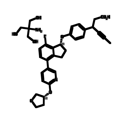 CC#CC(CC(=O)O)c1ccc(O[C@@H]2CCc3c(-c4ccc(O[C@@H]5CCOC5)nc4)ccc(F)c32)cc1.NC(CO)(CO)CO